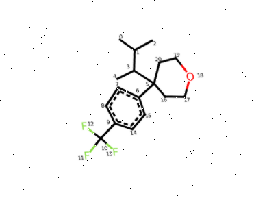 CC(C)C(C)C1(c2ccc(C(F)(F)F)cc2)CCOCC1